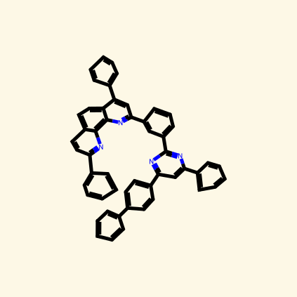 c1ccc(-c2ccc(-c3cc(-c4ccccc4)nc(-c4cccc(-c5cc(-c6ccccc6)c6ccc7ccc(-c8ccccc8)nc7c6n5)c4)n3)cc2)cc1